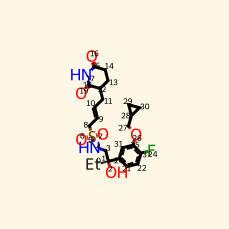 CC[C@@](O)(CNS(=O)(=O)C/C=C/CC1CCC(=O)NC1=O)c1ccc(F)c(OCC2CC2)c1